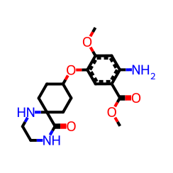 COC(=O)c1cc(OC2CCC3(CC2)NCCNC3=O)c(OC)cc1N